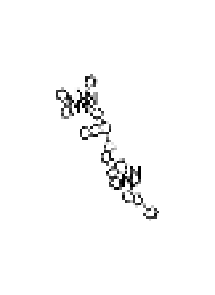 c1ccc(-c2ccc3c(-c4ccnc(-c5ccc6c7c(cc8ccccc8c57)-c5ccc7cc(-c8ccc9c%10c(c%11ccccc%11cc8%10)-c8cc(-c%10nc(-c%11ccccc%11)nc(-n%11c%12ccccc%12c%12ccccc%12%11)n%10)ccc8-9)ccc7c5-6)n4)cccc3c2)cc1